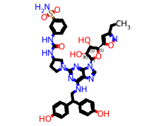 CCc1cc([C@H]2O[C@@H](n3cnc4c(NCC(c5ccc(O)cc5)c5ccc(O)cc5)nc(N5CCC(NC(=O)Nc6cccc(S(N)(=O)=O)c6)C5)nc43)[C@H](O)[C@@H]2O)on1